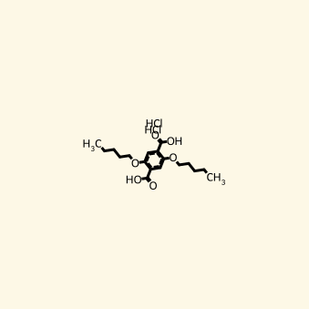 CCCCCOc1cc(C(=O)O)c(OCCCCC)cc1C(=O)O.Cl.Cl